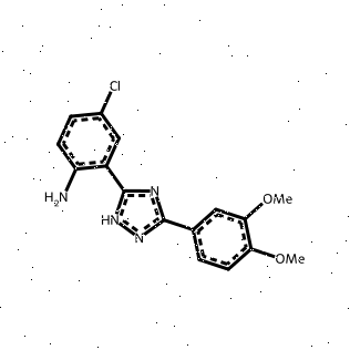 COc1ccc(-c2n[nH]c(-c3cc(Cl)ccc3N)n2)cc1OC